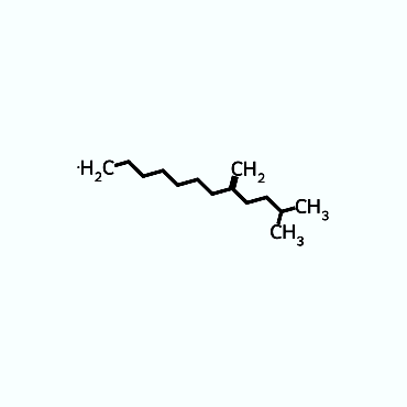 [CH2]CCCCCCC(=C)CCC(C)C